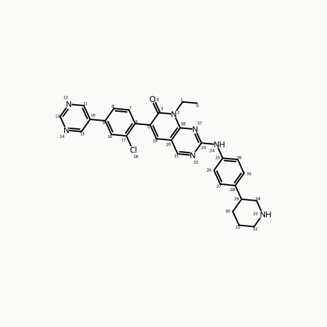 CCn1c(=O)c(-c2ccc(-c3cncnc3)cc2Cl)cc2cnc(Nc3ccc(C4CCCNC4)cc3)nc21